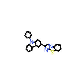 c1ccc(-n2c3ccccc3c3cc(-c4cn5c(n4)sc4ccccc45)ccc32)cc1